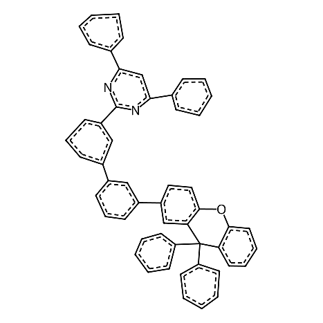 c1ccc(-c2cc(-c3ccccc3)nc(-c3cccc(-c4cccc(-c5ccc6c(c5)C(c5ccccc5)(c5ccccc5)c5ccccc5O6)c4)c3)n2)cc1